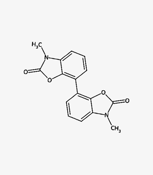 Cn1c(=O)oc2c(-c3cccc4c3oc(=O)n4C)cccc21